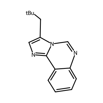 CC(C)(C)Cc1cnc2c3ccccc3ncn12